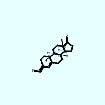 C[C@]12CCC(=CF)C=C1CC[C@@H]1[C@@H]2CC[C@]2(C)C(=O)CC[C@@H]12